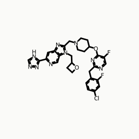 Fc1cc(Cl)ccc1Cc1ncc(F)c(OC2CCN(Cc3nc4cc(-c5nnc[nH]5)ncc4n3CC3CCO3)CC2)n1